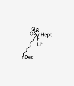 CCCCCCCCCCCCCCCCCC(F)(CCCCCCC)S(=O)(=O)[O-].[Li+]